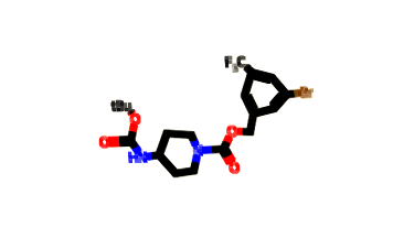 CC(C)(C)OC(=O)NC1CCN(C(=O)OCc2cc(Br)cc(C(F)(F)F)c2)CC1